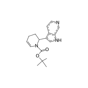 CC(C)(C)OC(=O)N1C=CCCC1c1c[nH]c2cnccc12